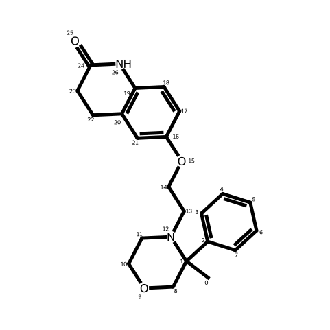 CC1(c2ccccc2)COCCN1CCOc1ccc2c(c1)CCC(=O)N2